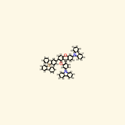 c1ccc(S(c2ccccc2)(c2ccccc2)c2ccc(-c3ccc4c5c3Oc3cc(-n6c7ccccc7c7ccccc76)ccc3B5c3ccc(-n5c6ccccc6c6ccccc65)cc3O4)cc2)cc1